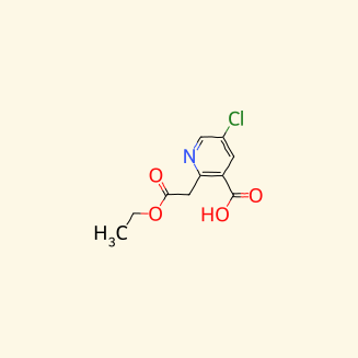 CCOC(=O)Cc1ncc(Cl)cc1C(=O)O